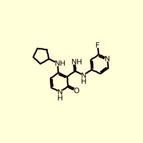 N=C(Nc1ccnc(F)c1)c1c(NC2CCCC2)cc[nH]c1=O